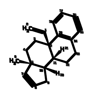 C=C[C@]12CC[C@]3(C)C#CC[C@H]3[C@@H]1CCc1c#cccc12